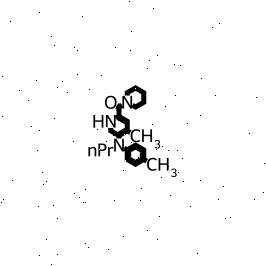 CCCN(C1=C(C)C=C(C(=O)N2CCCCC2)NC1)c1ccc(C)cc1